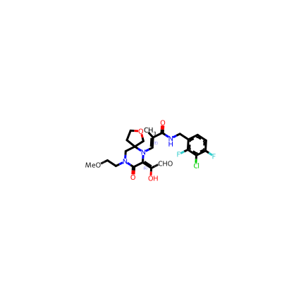 COCCN1CC2(CCOC2)N(/C=C(\C)C(=O)NCc2ccc(F)c(Cl)c2F)/C(=C(/O)C=O)C1=O